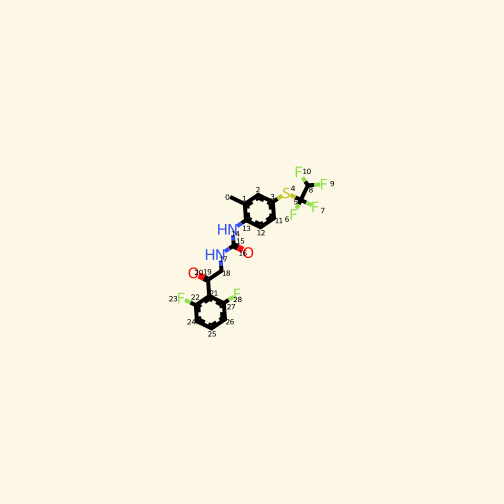 Cc1cc(SC(F)(F)C(F)F)ccc1NC(=O)NCC(=O)c1c(F)cccc1F